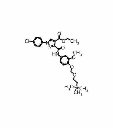 CCOC(=O)c1cn(-c2ccc(Cl)cc2)nc1C(=O)Nc1ccc(OCOCC[Si](C)(C)C)c(OC)c1